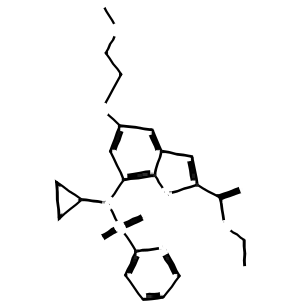 CCOC(=O)c1cc2cc(OCCOC)cc(N(C3CC3)S(=O)(=O)c3ccccn3)c2[nH]1